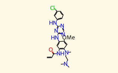 C=CC(=O)Nc1cc(Nc2ncnc(Nc3cccc(Cl)c3)n2)c(OC)cc1N(C)CCN(C)C